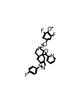 COc1c(F)cc(OSN2CCC3=Cc4c(cnn4-c4ccc(F)cc4)CC3(C(=O)c3ccccn3)C2)cc1F